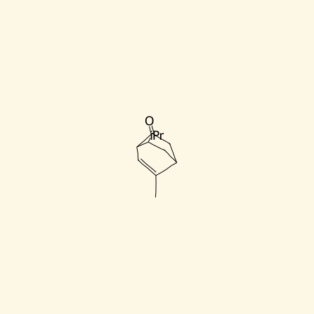 CC1=CC2C(=O)CC1CC2C(C)C